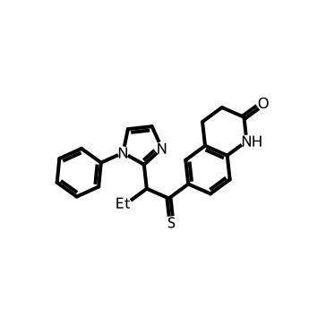 CCC(C(=S)c1ccc2c(c1)CCC(=O)N2)c1nccn1-c1ccccc1